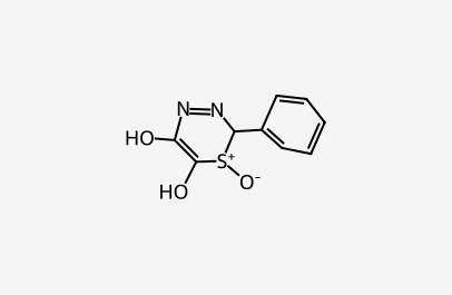 [O-][S+]1C(O)=C(O)N=NC1c1ccccc1